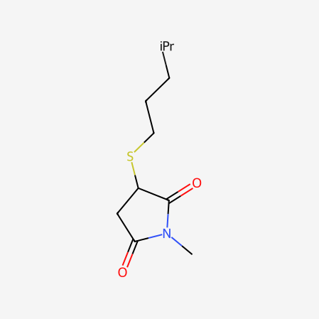 CC(C)CCCSC1CC(=O)N(C)C1=O